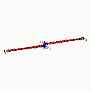 COCCOCCOCCOCCOCCOCCOCCOCCOCCOCCOCCOCCc1nc(C(N)=O)c(CCOCCOCCOCCOCCOCCOCCOCCOCCOCCOCCOCCOC)nc1C(N)=O